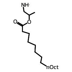 CCCCCCCCCCCCCCCC(=O)OC(C)C[NH]